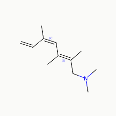 C=C/C(C)=C\C(C)=C(/C)CN(C)C